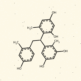 Cc1cc(O)ccc1CC(c1cc(O)cc(O)c1C)c1c(C)cc(O)cc1O